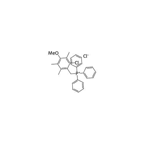 COc1c(C)c(C)c(C[P+](c2ccccc2)(c2ccccc2)c2ccccc2)c(Cl)c1C.[Cl-]